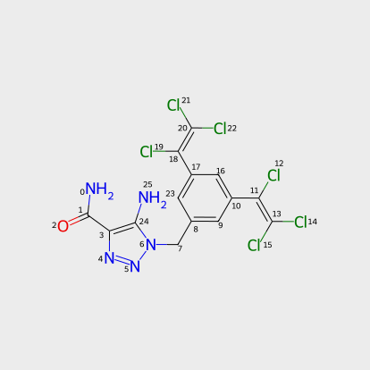 NC(=O)c1nnn(Cc2cc(C(Cl)=C(Cl)Cl)cc(C(Cl)=C(Cl)Cl)c2)c1N